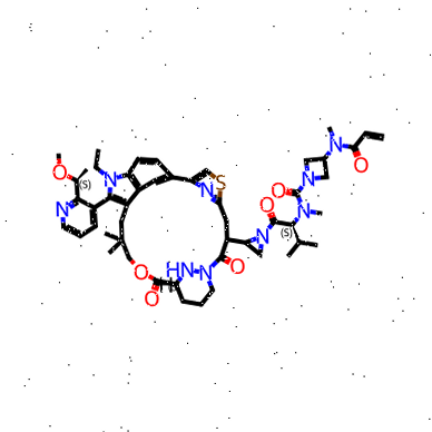 C=CC(=O)N(C)C1CN(C(=O)N(C)[C@H](C(=O)N2CC2C2Cc3nc(cs3)-c3ccc4c(c3)c(c(-c3cccnc3[C@H](C)OC)n4CC)CC(C)(C)COC(=O)[C@@H]3CCCN(N3)C2=O)C(C)C)C1